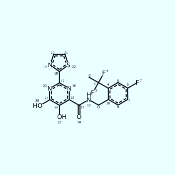 CC(F)(F)c1cc(F)ccc1CNC(=O)c1nc(-c2nccs2)nc(O)c1O